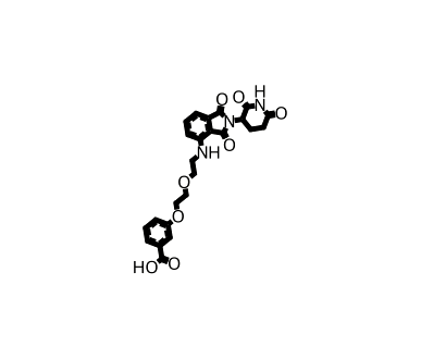 O=C1CCC(N2C(=O)c3cccc(NCCOCCOc4cccc(C(=O)O)c4)c3C2=O)C(=O)N1